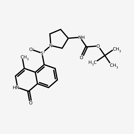 Cc1c[nH]c(=O)c2cccc([S+]([O-])N3CCC(NC(=O)OC(C)(C)C)C3)c12